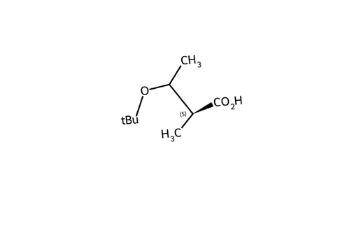 CC(OC(C)(C)C)[C@H](C)C(=O)O